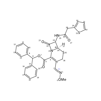 CO/N=C/C1=C(C(=O)OC(c2ccccc2)c2ccccc2)N2C(=O)C(NC(=O)Cc3cccs3)[C@H]2SC1